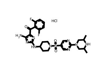 CC1CN(c2ncc(S(=O)(=O)N3CCC(Nc4nc(N)c(C(=O)c5c(F)cccc5F)s4)CC3)cn2)CC(C)N1.Cl